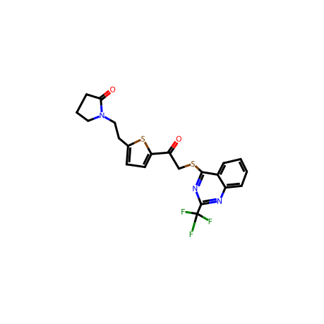 O=C(CSc1nc(C(F)(F)F)nc2ccccc12)c1ccc(CCN2CCCC2=O)s1